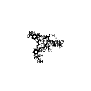 CCn1nc(C)cc1C(=O)Nc1nc2cc(C(N)=O)ccc2n1CCCCn1c(NC(=O)c2cc(C)nn2CC)nc2c(NC(=O)CO)cccc21.O=C(O)C(F)(F)F.O=C(O)C(F)(F)F